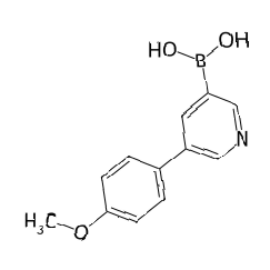 COc1ccc(-c2cncc(B(O)O)c2)cc1